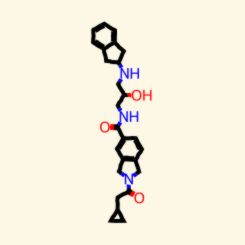 O=C(NCC(O)CNC1Cc2ccccc2C1)c1ccc2c(c1)CN(C(=O)CC1CC1)C2